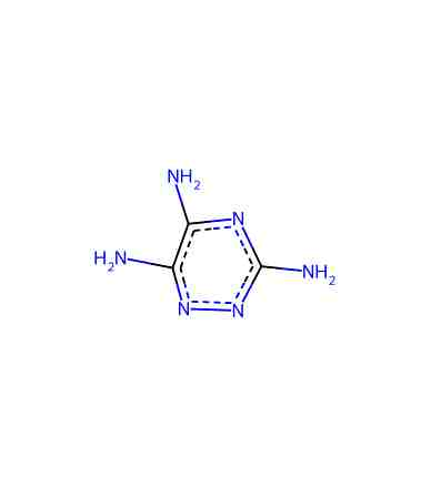 Nc1nnc(N)c(N)n1